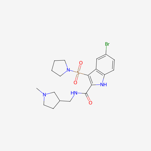 CN1CCC(CNC(=O)c2[nH]c3ccc(Br)cc3c2S(=O)(=O)N2CCCC2)C1